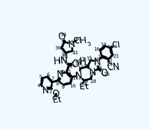 CCOc1ncccc1-c1ccc(N2C[C@H]3CN(c4ccc(Cl)cc4C#N)C(=O)N3C[C@H]2CC)c(C(=O)N[C@@H]2CC(=O)N(C)C2)n1